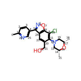 Cc1ccc(-c2noc3c(Cl)c(N4C[C@@H](C)O[C@@H](C)C4)c(CO)cc23)cn1